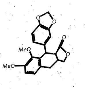 COc1ccc2c(c1OC)C(c1ccc3c(c1)OCO3)C1C(=O)OCC1C2